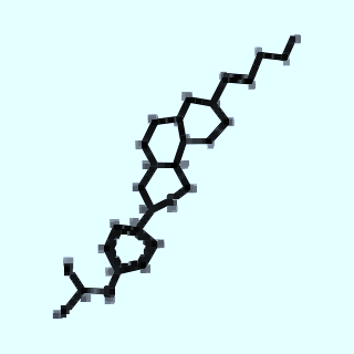 CCC/C=C/C1CCC2C(CCC3CC(c4ccc(OC(F)F)cc4)CCC32)C1